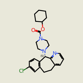 O=C(OC1CCCCC1)N1CCN([C@H]2c3ccc(Cl)cc3CCc3cccnc32)CC1